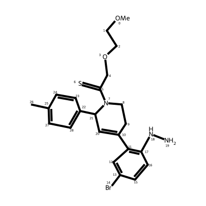 COCCOCC(=S)N1CCC(c2cc(Br)ccc2NN)=CC1c1ccc(C)cc1